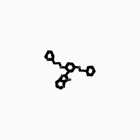 c1ccc(COc2ccc(OCCc3ccccn3)c(-c3nc4cccnc4[nH]3)c2)cc1